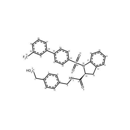 O=C(O)Cc1ccc(CNC(=O)[C@@H]2Cc3ccccc3N2S(=O)(=O)c2ccc(-c3cccc(C(F)(F)F)c3)cc2)cc1